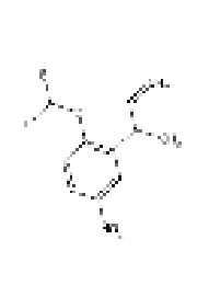 [CH2]C(C=C)c1cc([N+](=O)[O-])ccc1OC(F)F